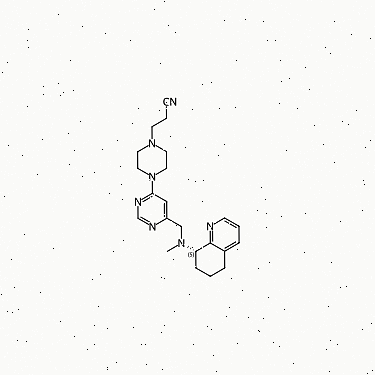 CN(Cc1cc(N2CCN(CCC#N)CC2)ncn1)[C@H]1CCCc2cccnc21